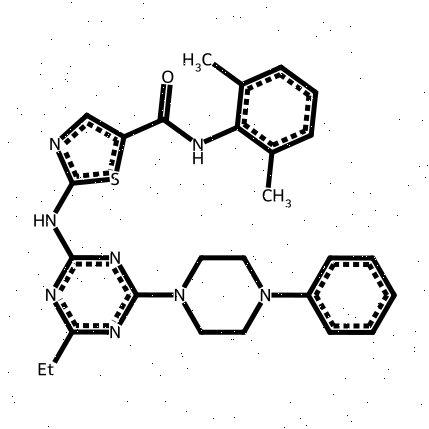 CCc1nc(Nc2ncc(C(=O)Nc3c(C)cccc3C)s2)nc(N2CCN(c3ccccc3)CC2)n1